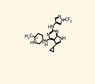 C[C@H]1CC[C@@H](Nc2nc(Nc3cnn(C(F)(F)F)c3)nc3[nH]cc(C4CC4)c23)CN1